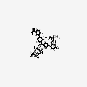 CN(C)CCc1[nH]c(=O)ccc1-c1ccc(C(=O)N2CC=C(c3cccc(C(=N)N)c3)CC2)cc1.O=C(O)C(F)(F)F.O=C(O)C(F)(F)F